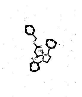 C=C(CC(=O)OCc1ccccc1)P1(=N)N(c2ccccc2)CCN1c1ccccc1